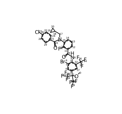 COC(c1cc(Br)c(NC(=O)c2cccc(N(CC3CC3)C(=O)c3ccc(Cl)cc3)c2F)c(C(F)(F)F)c1)(C(F)(F)F)C(F)(F)F